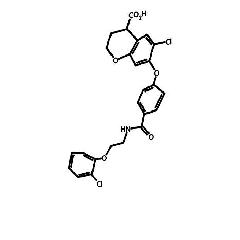 O=C(NCCOc1ccccc1Cl)c1ccc(Oc2cc3c(cc2Cl)C(C(=O)O)CCO3)cc1